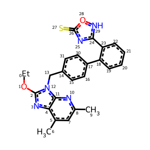 CCOc1nc2c(C)cc(C)nc2n1Cc1ccc(-c2ccccc2-c2nc(=S)o[nH]2)cc1